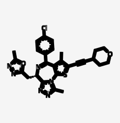 Cc1nnc(C[C@@H]2N=C(c3ccc(Cl)cc3)c3c(sc(C#CC4CCOCC4)c3C)-n3c(C)nnc32)o1